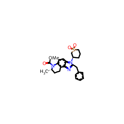 COC(=O)N1c2ccc3c(nc(Cc4ccccc4)n3[C@@H]3CCCS(=O)(=O)C3)c2CC[C@@H]1C